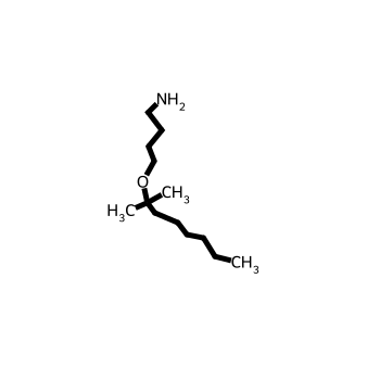 CCCCCCC(C)(C)OCCCCN